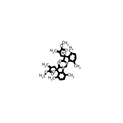 C=C(CC1(O)C(=O)N(CN2C(=O)C(O)(CC(=C)C(=O)OC)c3c(C)ccc(C)c32)c2c(C)ccc(C)c21)C(=O)OC